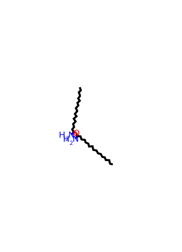 CCCCCCCCCCCCCCCCCC(N)OC(N)CCCCCCCCCCCCCCCCC